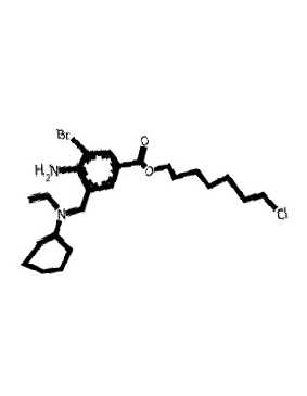 CCN(Cc1cc(C(=O)OCCCCCCCCl)cc(Br)c1N)C1CCCCC1